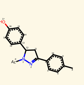 CC(=O)N1N=C(c2ccc(C)cc2)CC1c1ccc(O)cc1